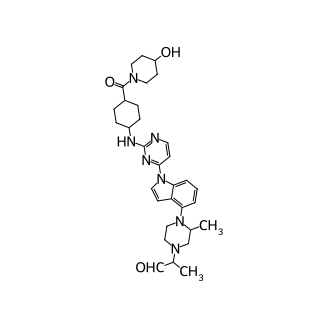 CC(C=O)N1CCN(c2cccc3c2ccn3-c2ccnc(NC3CCC(C(=O)N4CCC(O)CC4)CC3)n2)C(C)C1